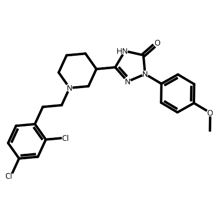 COc1ccc(-n2nc(C3CCCN(CCc4ccc(Cl)cc4Cl)C3)[nH]c2=O)cc1